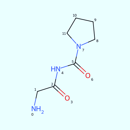 NCC(=O)NC(=O)N1CCCC1